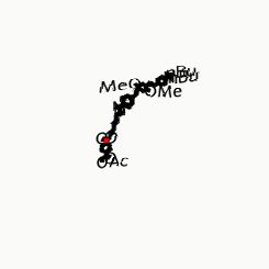 CCCCN(CCCC)c1ccc(C=Cc2cc(OC)c(C=Cc3ccc(N(C)CCCCCCOC(=O)c4ccc(C(=O)COC(C)=O)cc4)cc3)cc2OC)cc1